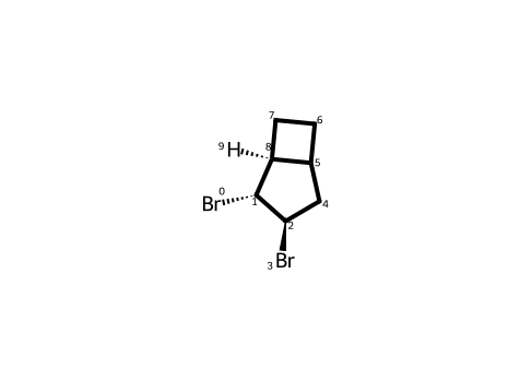 Br[C@H]1[C@H](Br)CC2CC[C@@H]21